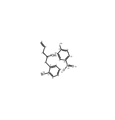 C=CCC(O)Cc1ccccc1Br.O=[N+]([O-])c1ccc(I)cc1